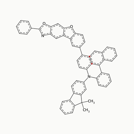 CC1(C)c2ccccc2-c2ccc(N(c3ccc(-c4ccc5oc6cc7oc(-c8ccccc8)nc7cc6c5c4)cc3)c3ccccc3-c3cccc4ccccc34)cc21